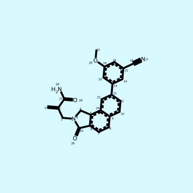 C=C(CN1Cc2c(ccc3ccc(-c4cc(C#N)cc(OC)c4)cc23)C1=O)C(N)=O